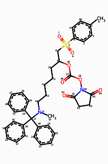 Cc1ccc(S(=O)(=O)CC(CCCCCN(C)C(c2ccccc2)(c2ccccc2)c2ccccc2)OC(=O)ON2C(=O)CCC2=O)cc1